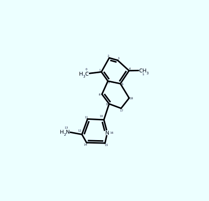 Cc1ccc(C)c2c1C=C(c1cc(N)ccn1)CC2